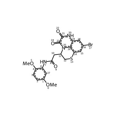 COc1ccc(OC)c(NC(=O)CC2CSc3cc(Br)cc4[nH]c(=O)c(=O)n2c34)c1